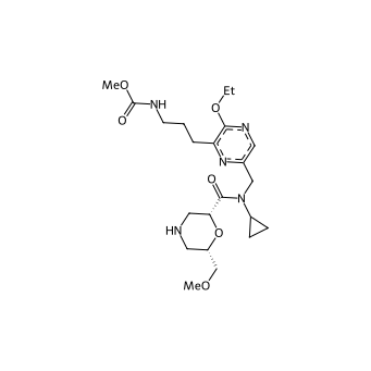 CCOc1ncc(CN(C(=O)[C@H]2CNC[C@@H](COC)O2)C2CC2)nc1CCCNC(=O)OC